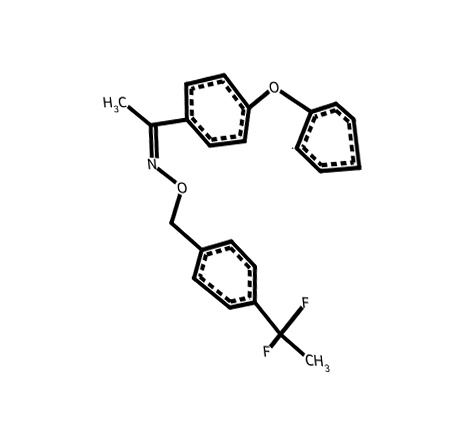 CC(=NOCc1ccc(C(C)(F)F)cc1)c1ccc(Oc2[c]cccc2)cc1